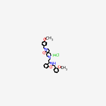 COc1ccc(CN2CCC3(CCN(CCC(NC(=O)Cc4ccccc4OC)c4ccccc4)CC3)C2=O)cc1.Cl